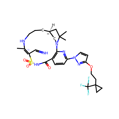 C/C1=C(/C=N)S(=O)(=O)NC(=O)c2ccc(-n3ccc(OCCC4(C(F)(F)F)CC4)n3)nc2N2C[C@@H](CCCN1)CC2(C)C